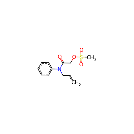 C=CCN(C(=O)COS(C)(=O)=O)c1ccccc1